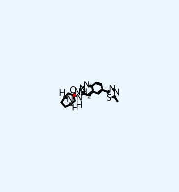 Cc1nnc(-c2ccc3nnc(NC(=O)N4[C@@H]5CC[C@H]4C[C@H](N)C5)cc3c2)s1